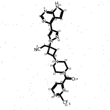 N#CCC1(n2cc(-c3ncnc4[nH]ccc34)cn2)CC(N2CCN(C(=O)c3ccnc(C(F)(F)F)n3)CC2)C1